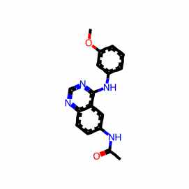 COc1cccc(Nc2ncnc3ccc(NC(C)=O)cc23)c1